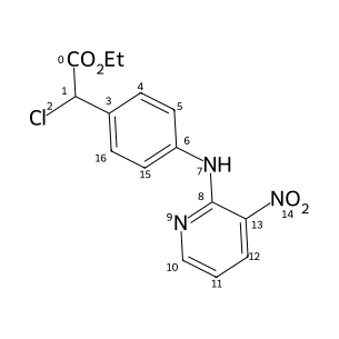 CCOC(=O)C(Cl)c1ccc(Nc2ncccc2[N+](=O)[O-])cc1